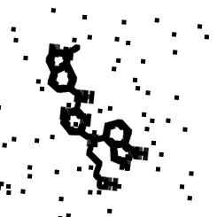 Cn1ncc2ccc(Nc3nccc(N(CCCO)c4cccc5[nH]ncc45)n3)cc21